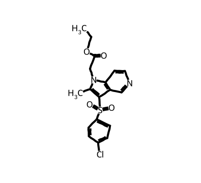 CCOC(=O)Cn1c(C)c(S(=O)(=O)c2ccc(Cl)cc2)c2cnccc21